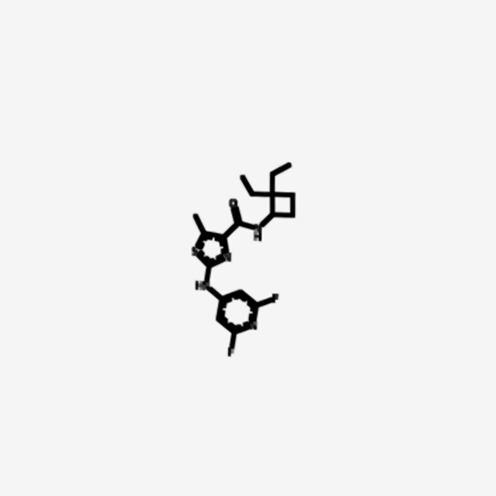 CCC1(CC)CCC1NC(=O)c1nc(Nc2cc(F)nc(F)c2)sc1C